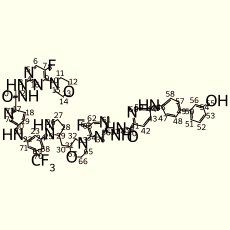 O=C(NNc1ncc(F)c(N2CCOCC2)n1)c1ccc(Nc2cc(N3NCCC3CC3CN(c4nc(NNC(=O)c5ccc(Nc6ccc(-c7cccc(O)c7)cc6)cn5)ncc4F)CCO3)cc(C(F)(F)F)c2)cn1